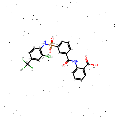 O=C(Nc1ccccc1C(=O)O)c1cccc(S(=O)(=O)Nc2ccc(C(F)(F)F)cc2Cl)c1